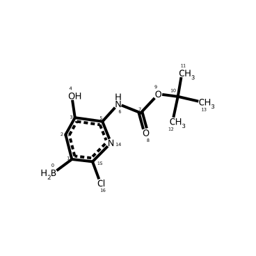 Bc1cc(O)c(NC(=O)OC(C)(C)C)nc1Cl